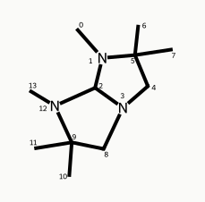 CN1C2N(CC1(C)C)CC(C)(C)N2C